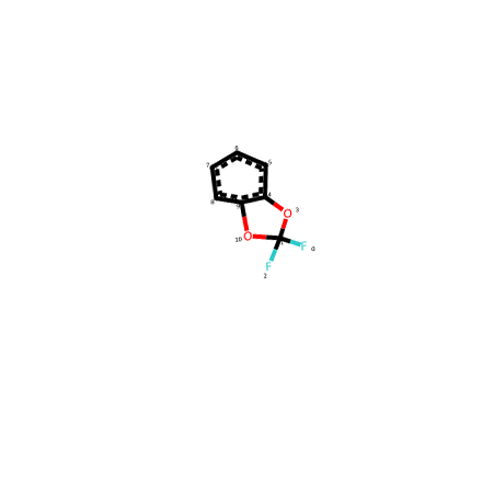 FC1(F)Oc2[c]cccc2O1